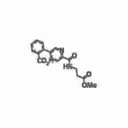 COC(=O)CCNC(=O)c1ccc(-c2ccccc2C(=O)O)cn1